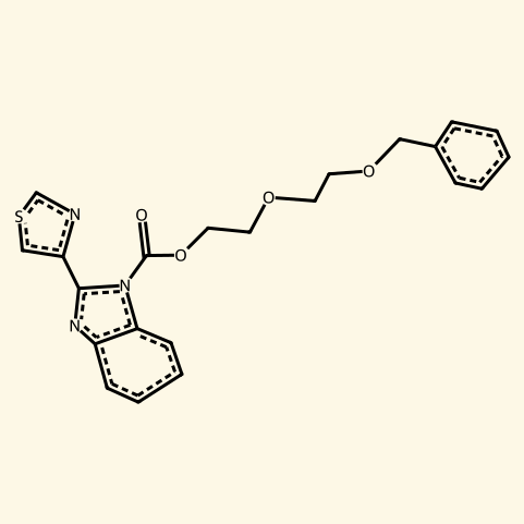 O=C(OCCOCCOCc1ccccc1)n1c(-c2cscn2)nc2ccccc21